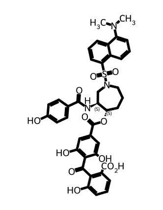 CN(C)c1cccc2c(S(=O)(=O)N3CCC[C@H](OC(=O)c4cc(O)c(C(=O)c5c(O)cccc5C(=O)O)c(O)c4)[C@@H](NC(=O)c4ccc(O)cc4)C3)cccc12